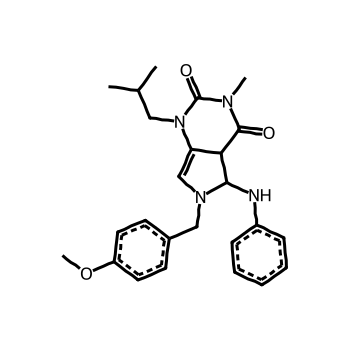 COc1ccc(CN2C=C3C(C(=O)N(C)C(=O)N3CC(C)C)C2Nc2ccccc2)cc1